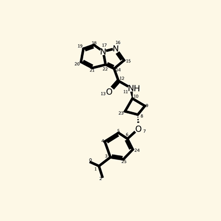 CC(C)c1ccc(O[C@H]2C[C@H](NC(=O)c3cnn4ccccc34)C2)cc1